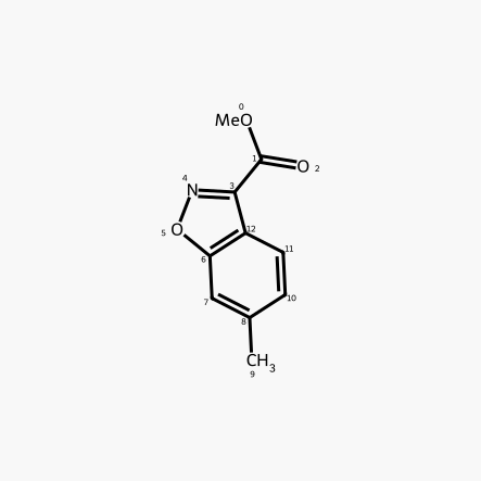 COC(=O)c1noc2cc(C)ccc12